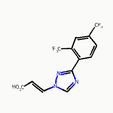 O=C(O)C=Cn1cnc(-c2ccc(C(F)(F)F)cc2C(F)(F)F)n1